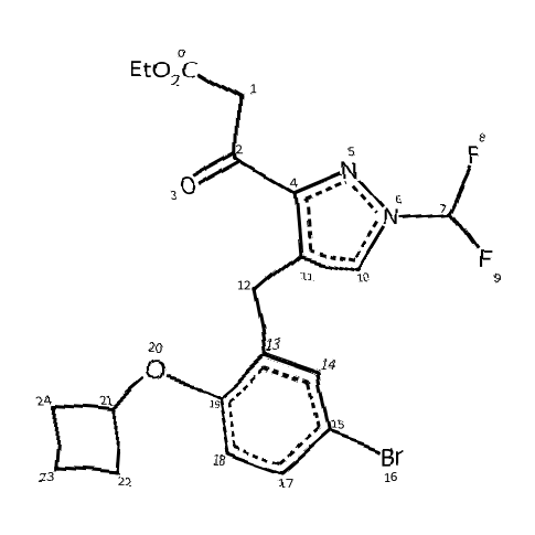 CCOC(=O)CC(=O)c1nn(C(F)F)cc1Cc1cc(Br)ccc1OC1CCC1